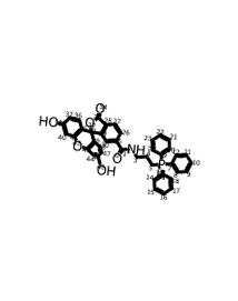 O=C(NCCC[PH](c1ccccc1)(c1ccccc1)c1ccccc1)c1ccc2c(c1)C1(OC2=O)c2ccc(O)cc2Oc2cc(O)ccc21